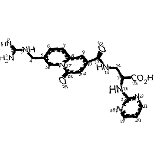 N=C(N)NCc1ccc2cc(C(=O)NCC(Nc3ncccn3)C(=O)O)cc(=O)n2c1